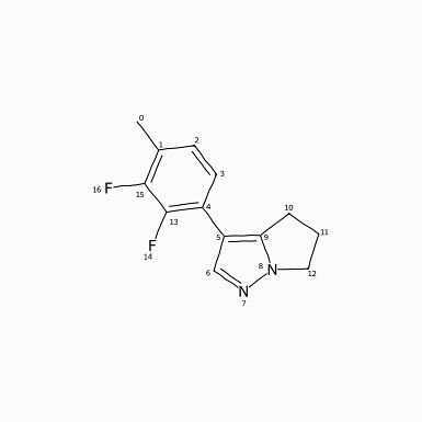 Cc1ccc(-c2cnn3c2CCC3)c(F)c1F